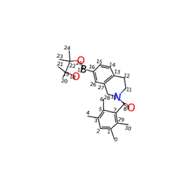 Cc1cc(C)c(C)c(C(=O)N2CCc3ccc(B4OC(C)(C)C(C)(C)O4)cc3C2)c1C